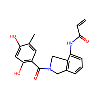 C=CC(=O)Nc1cccc2c1CN(C(=O)c1cc(C)c(O)cc1O)C2